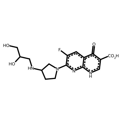 O=C(O)c1c[nH]c2nc(N3CCC(NCC(O)CO)C3)c(F)cc2c1=O